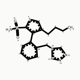 CCCCc1csc(S(N)(=O)=O)c1-c1ccccc1Cn1cnnn1